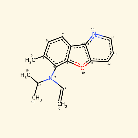 C=CN(c1c(C)ccc2c1oc1cccnc12)C(C)C